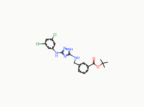 CC(C)(C)OC(=O)c1cccc(CNc2nc(Nc3cc(Cl)cc(Cl)c3)n[nH]2)c1